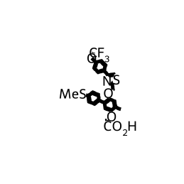 CSc1ccc(-c2cc(OCC(=O)O)c(C)cc2OCc2nc(-c3ccc(OC(F)(F)F)cc3)cs2)cc1